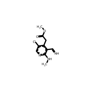 CNc1ncc(Cl)c(CC(=O)OC)c1C=N